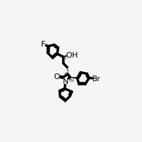 O=C1[C@H](CC[C@H](O)c2ccc(F)cc2)[C@@H](c2ccc(Br)cc2)N1c1ccccc1